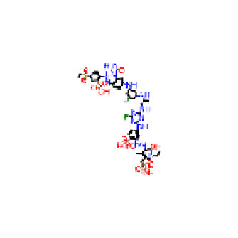 C=CS(=O)(=O)c1ccc(/N=N/c2ccc(Nc3cc(F)cc(NC(C)CNc4nc(F)nc(Nc5ccc(S(=O)(=O)O)c(/N=N/c6c(C)c(CS(=O)(=O)O)c(=O)n(CC)c6O)c5)n4)c3)cc2NC(N)=O)c(S(=O)(=O)O)c1